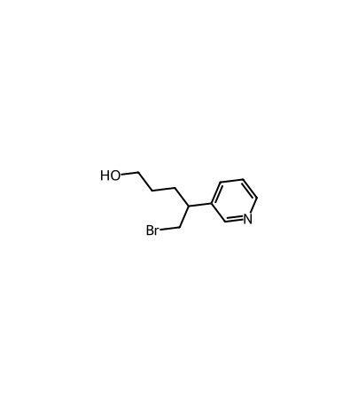 OCCCC(CBr)c1cccnc1